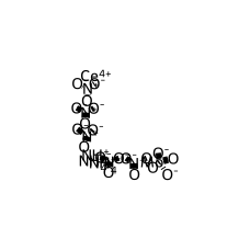 O=[N+]([O-])[O-].O=[N+]([O-])[O-].O=[N+]([O-])[O-].O=[N+]([O-])[O-].O=[N+]([O-])[O-].[Ce+4].[NH4+].[NH4+].[NH4+].[O]=[Mo](=[O])([O-])[O-]